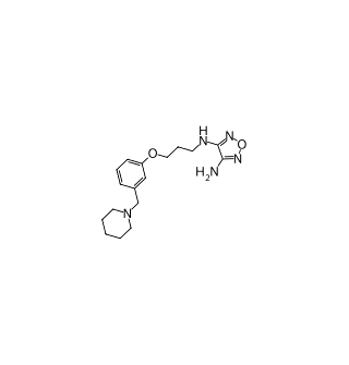 Nc1nonc1NCCCOc1cccc(CN2CCCCC2)c1